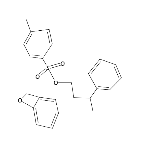 Cc1ccc(S(=O)(=O)OCCC(C)c2ccccc2)cc1.c1ccc2c(c1)CO2